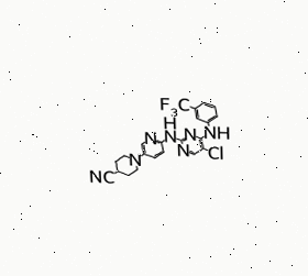 N#CC1CCN(c2ccc(Nc3ncc(Cl)c(Nc4cccc(C(F)(F)F)c4)n3)nc2)CC1